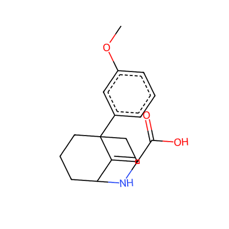 COc1cccc(C23CCCC(NCC2)/C3=C/C(=O)O)c1